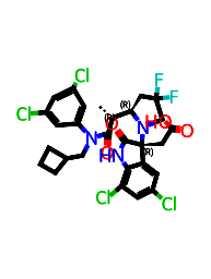 C[C@@H](C(=O)N(CC1CCC1)c1cc(Cl)cc(Cl)c1)[C@H]1CC(F)(F)CN1[C@@]1(CC(=O)O)C(=O)Nc2c(Cl)cc(Cl)cc21